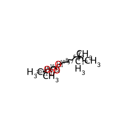 CCCC(C)(C)CCCCCCOC(=O)CC(=O)OC(C)C